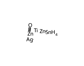 [Ag].[O]=[Zn].[SnH4].[Ti].[Zn]